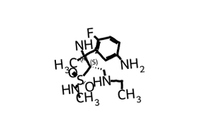 CCNC[C@@H]([C@](C)(N)c1cc(N)ccc1F)S(=O)(=O)NC